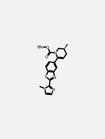 C[C@H]1CC=C(c2ccc3sc(-c4nccn4C)nc3c2)N(C(=O)OC(C)(C)C)C1